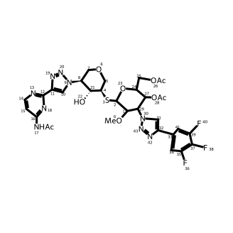 COC1C(S[C@@H]2COC[C@H](n3cc(-c4nccc(NC(C)=O)n4)nn3)[C@H]2O)OC(COC(C)=O)C(OC(C)=O)C1n1cc(-c2cc(F)c(F)c(F)c2)nn1